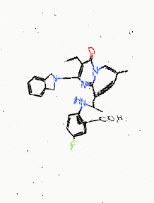 Cc1cc(C(C)Nc2ccc(F)cc2C(=O)O)c2nc(N3Cc4ccccc4C3)c(C)c(=O)n2c1